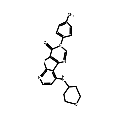 Cc1ccc(-n2cnc3c(sc4nccc(NC5CCOCC5)c43)c2=O)cc1